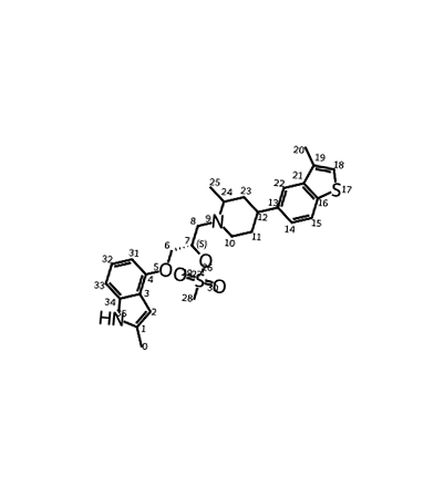 Cc1cc2c(OC[C@H](CN3CCC(c4ccc5scc(C)c5c4)CC3C)OS(C)(=O)=O)cccc2[nH]1